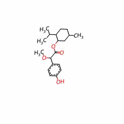 COC(C(=O)OC1CC(C)CCC1C(C)C)c1ccc(O)cc1